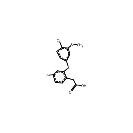 COc1cc(Sc2cc(F)ccc2CC(=O)O)ccc1Cl